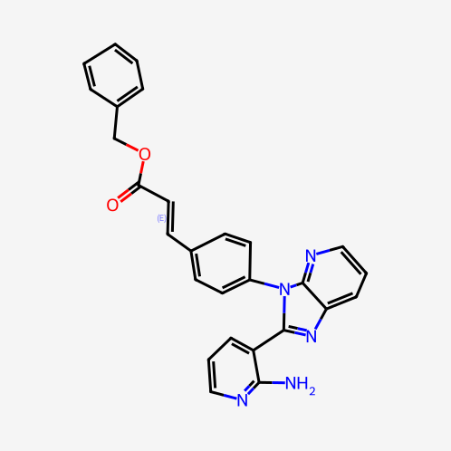 Nc1ncccc1-c1nc2cccnc2n1-c1ccc(/C=C/C(=O)OCc2ccccc2)cc1